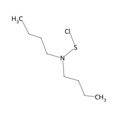 CCCCN(CCCC)SCl